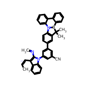 C=Nc1c(/C=C\C)c2ccccc2n1-c1cc(C#N)cc(-c2ccc3c(c2)C(C)(C)B2c4ccccc4-c4ccccc4N23)c1